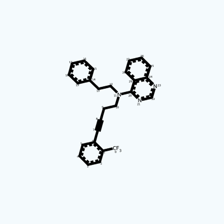 FC(F)(F)c1ccccc1C#CCCN(CCc1ccccc1)c1ncnc2ccccc12